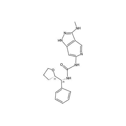 CNc1n[nH]c2cc(NC(=O)N[C@H](c3ccccc3)[C@@H]3CCCO3)ncc12